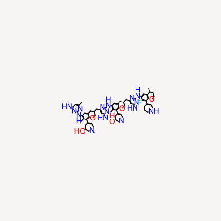 CNc1cc(C)nc(Nc2cc3c(c(C4=CCN(C)C[C@@H](O)C4)c2C)OCC(Cc2cc(NC)nc(Nc4cc5c(c(C6=CCN(C)C[C@H](O)C6)c4C)OCC(Cc4cc(NC)nc(Nc6cc7c(c(C8=CCNCCC8)c6F)OCC[C@@H]7C)n4)C5)n2)C3)n1